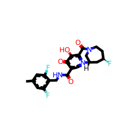 Cc1cc(F)c(CNC(=O)c2cn3c(c(O)c2=O)C(=O)N2CC[C@@H](F)C[C@H]3C2)c(F)c1